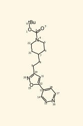 CC(C)(C)OC(=O)N1CCC(CCc2cc(-c3ccncc3)on2)CC1